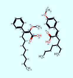 CCCCC(CC)CC(=Cc1ccc(OC)cc1)C(=O)O.CCCCCCCCC(=C(OC)C(=O)O)c1ccccc1